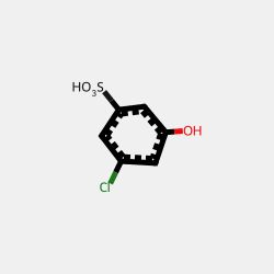 O=S(=O)(O)c1cc(O)cc(Cl)c1